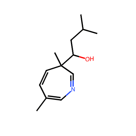 CC1=CN=CC(C)(C(O)CC(C)C)C=C1